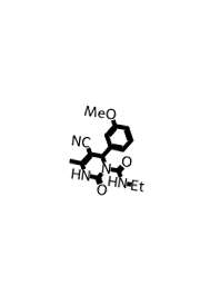 CCNC(=O)N1C(=O)NC(C)=C(C#N)C1c1cccc(OC)c1